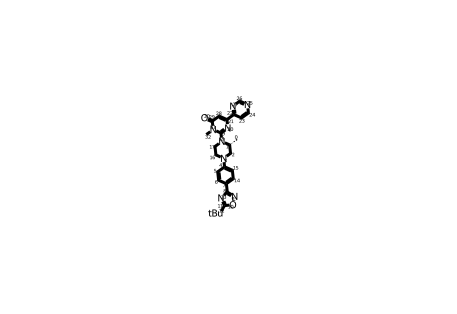 C[C@@H]1CN(c2ccc(-c3noc(C(C)(C)C)n3)cc2)CCN1c1nc(-c2ccncn2)cc(=O)n1C